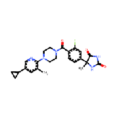 Cc1cc(C2CC2)cnc1N1CCN(C(=O)c2ccc(C3(C)NC(=O)NC3=O)cc2F)CC1